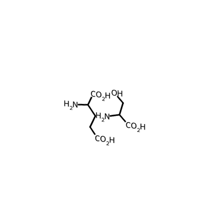 NC(CCC(=O)O)C(=O)O.NC(CO)C(=O)O